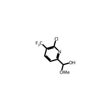 COC(O)c1ccc(C(F)(F)F)c(Cl)n1